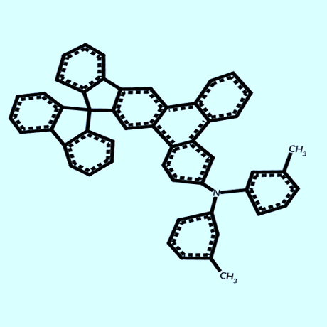 Cc1cccc(N(c2cccc(C)c2)c2ccc3c(c2)c2ccccc2c2cc4c(cc32)C2(c3ccccc3-c3ccccc32)c2ccccc2-4)c1